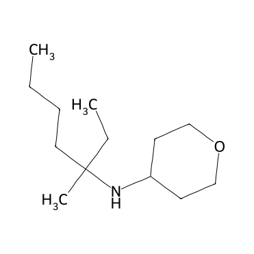 CCCCC(C)(CC)NC1CCOCC1